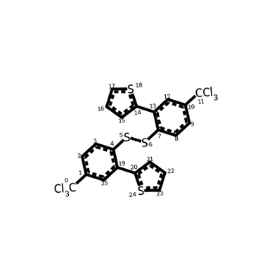 ClC(Cl)(Cl)c1ccc(SSc2ccc(C(Cl)(Cl)Cl)cc2-c2cccs2)c(-c2cccs2)c1